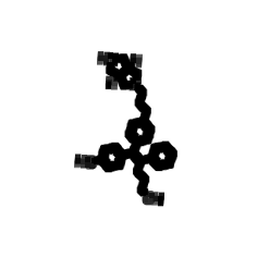 OCCC/C(=C(\c1ccc(O)cc1)c1ccc(CCCN2C[C@H]3CNC[C@H]3C2)cc1)c1ccccc1